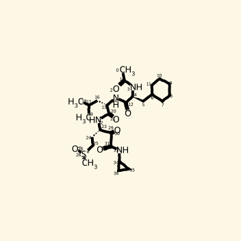 CC(=O)N[C@@H](CC1CCCCC1)C(=O)N[C@@H](CC(C)C)C(=O)N[C@@H](CC[S+](C)[O-])C(=O)C(=O)NC1CC1